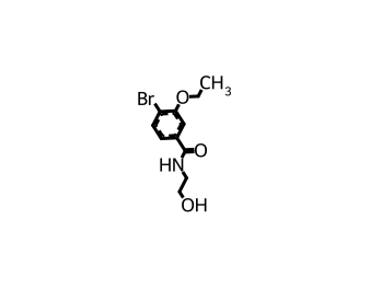 CCOc1cc(C(=O)NCCO)ccc1Br